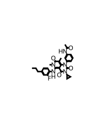 CCCc1ccc(Nc2c3c(=O)n(C4CC4)c(=O)n(-c4cccc(NC(C)=O)c4)c3c(C)c(=O)n2C)c(F)c1